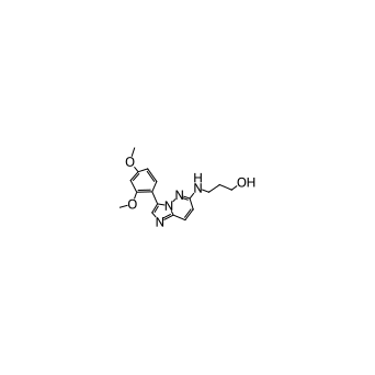 COc1ccc(-c2cnc3ccc(NCCCO)nn23)c(OC)c1